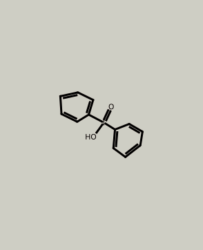 O=I(O)(c1ccccc1)c1ccccc1